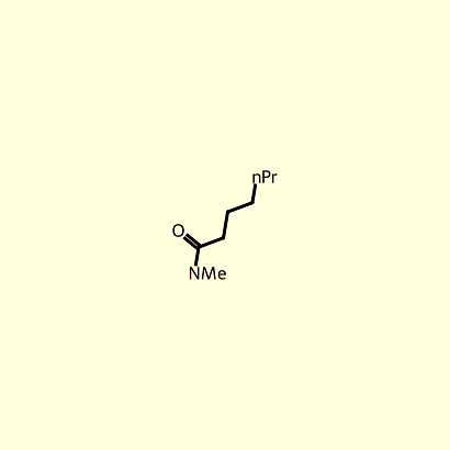 CCCCCCC(=O)NC